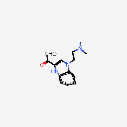 CN(C)CCN1C=C(C(=O)C=O)Nc2ccccc21